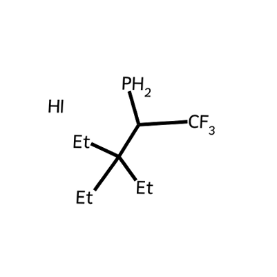 CCC(CC)(CC)C(P)C(F)(F)F.I